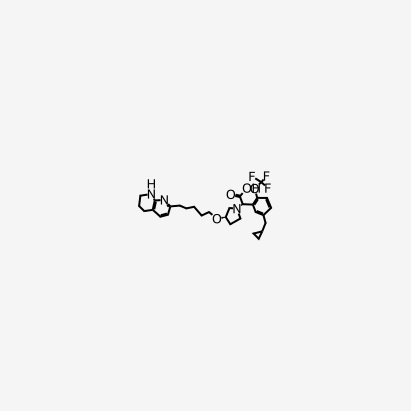 O=C(O)[C@H](c1cc(CC2CC2)ccc1OC(F)(F)F)N1CC[C@@H](OCCCCCc2ccc3c(n2)NCCC3)C1